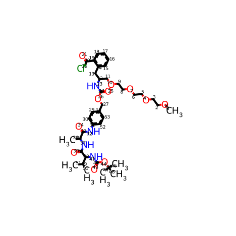 COCCOCCOCCOCC(Cc1ccccc1C(=O)Cl)NC(=O)OCc1ccc(NC(=O)C(C)NC(=O)C(NC(=O)OC(C)(C)C)C(C)C)cc1